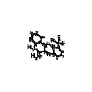 C[C@H](N)C1=Nc2cccc(C(F)(F)F)c2CN1c1cccnc1